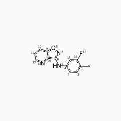 Cc1ccc(Nc2noc3cccnc23)cc1F